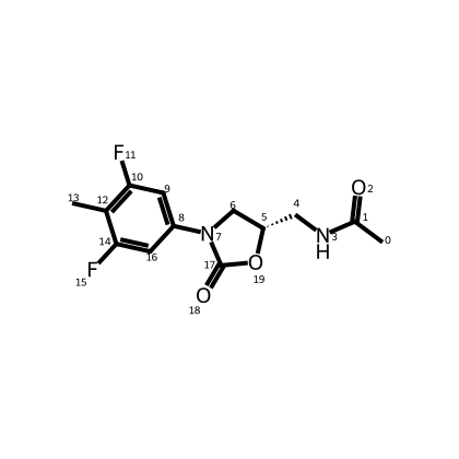 CC(=O)NC[C@H]1CN(c2cc(F)c(C)c(F)c2)C(=O)O1